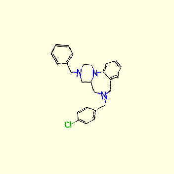 Clc1ccc(CN2Cc3ccccc3N3CCN(Cc4ccccc4)CC3C2)cc1